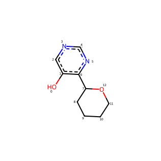 Oc1cn[c]nc1C1CCCCO1